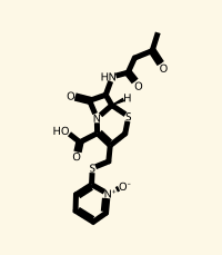 CC(=O)CC(=O)NC1C(=O)N2C(C(=O)O)=C(CSc3cccc[n+]3[O-])CS[C@@H]12